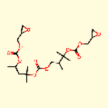 CC(CC(C)(C)OC(=O)OCC(C)C(C)(C)OC(=O)OCC1CO1)OC(=O)OCC1CO1